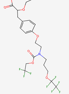 CCOC(Cc1ccc(OCCN(CCCOC(F)(F)C(F)(F)F)C(=O)OCC(F)(F)F)cc1)C(=O)O